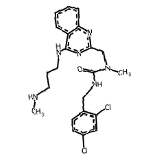 CNCCCNc1nc(CN(C)C(=O)NCc2ccc(Cl)cc2Cl)nc2ccccc12